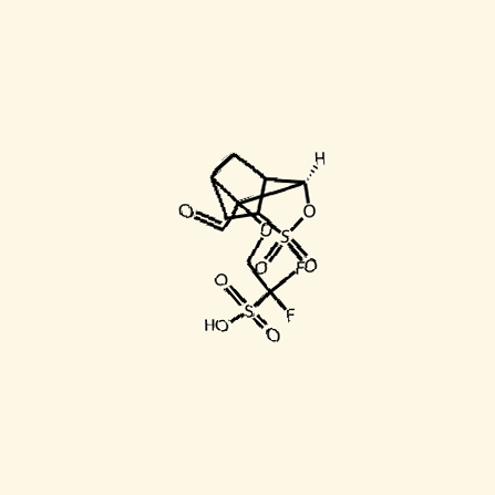 O=CC1(OCC(F)(F)S(=O)(=O)O)C2CC3C(C2)S(=O)(=O)O[C@H]31